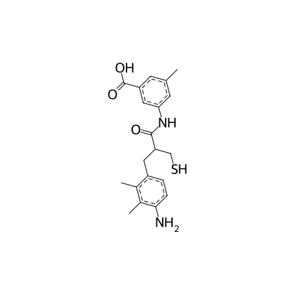 Cc1cc(NC(=O)C(CS)Cc2ccc(N)c(C)c2C)cc(C(=O)O)c1